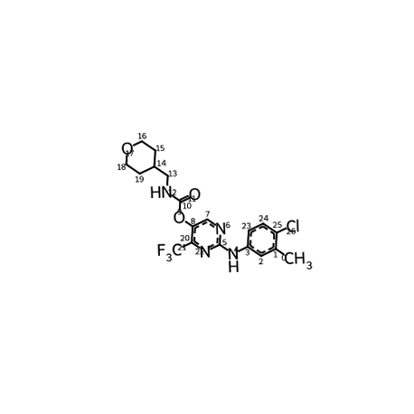 Cc1cc(Nc2ncc(OC(=O)NCC3CCOCC3)c(C(F)(F)F)n2)ccc1Cl